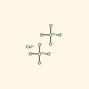 [Ca+2].[O-][Cl+3]([O-])([O-])[O-].[O-][Cl+3]([O-])([O-])[O-]